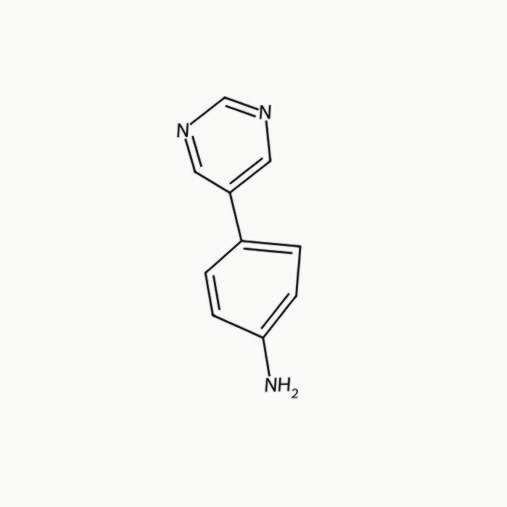 Nc1ccc(-c2cncnc2)cc1